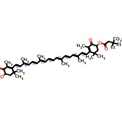 CCC(CC)(CC(=O)OC1CC(C)(C)C(/C=C/C(C)=C/C=C/C(C)=C/C=C/C=C(C)/C=C/C=C(C)/C=C/C2=C(C)C(=O)C(O)CC2(C)C)=C(C)C1=O)C(=O)O